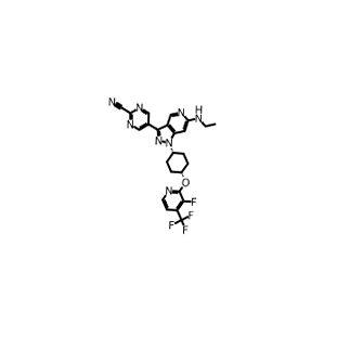 CCNc1cc2c(cn1)c(-c1cnc(C#N)nc1)nn2[C@H]1CC[C@@H](Oc2nccc(C(F)(F)F)c2F)CC1